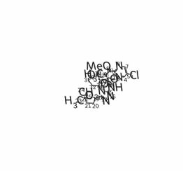 CO[C@H](c1ncc(Cl)cn1)[C@H](C)S(=O)(=O)Nc1nnc(C2CCC(C)(C)O2)n1C1CCOCC1